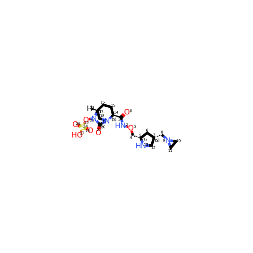 O=C(NOC[C@@H]1C[C@H](CN2CC2)CN1)[C@@H]1CC[C@@H]2CN1C(=O)N2OS(=O)(=O)O